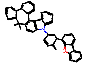 CC1C=CC(n2c3ccccc3c3c4c(ccc32)C(C)(C)c2ccccc2-c2ccccc2-4)=CC1c1cccc2c1oc1ccccc12